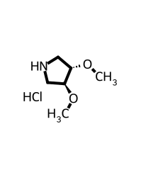 CO[C@H]1CNC[C@@H]1OC.Cl